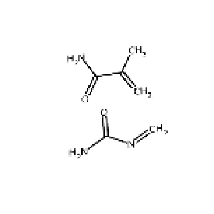 C=C(C)C(N)=O.C=NC(N)=O